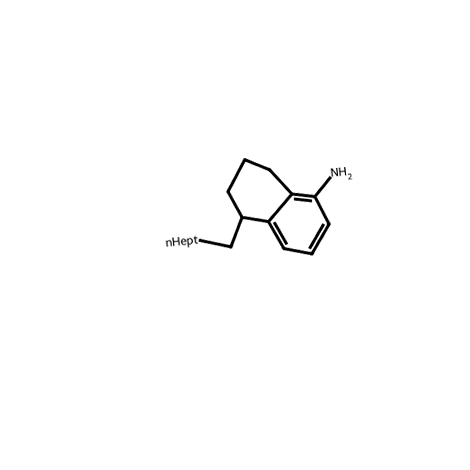 CCCCCCCCC1CCCc2c(N)cccc21